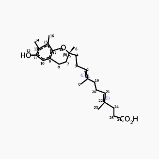 C/C(=C\CC[C@]1(C)CCc2cc(O)c(C)c(C)c2O1)CC/C=C(\C)CCC(=O)O